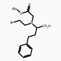 CC(C)(C)OC(=O)CN(CCBr)C(CCc1ccccc1)C(=O)O